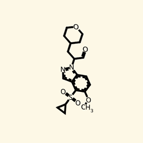 COc1ccc2c(cnn2C(C=O)CC2CCOCC2)c1S(=O)(=O)C1CC1